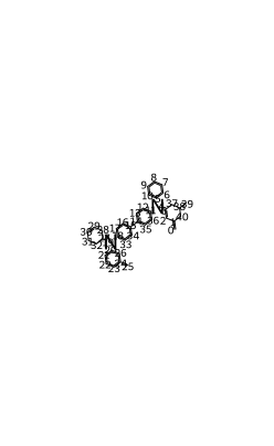 C=C1C=C(N(c2ccccc2)c2ccc(-c3ccc(N(c4cccc(C)c4)C4CC=CCC4)cc3)cc2)CC(C)C1